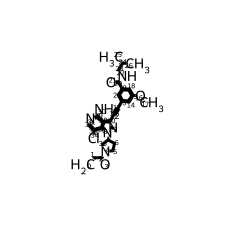 C=CC(=O)N1CC[C@H](n2nc(C#Cc3cc(OC)cc(C(=O)NCC(C)C)c3)c3c(N)ncc(Cl)c32)C1